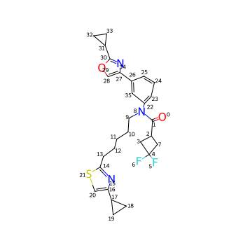 O=C(C1CC(F)(F)C1)N(CCCCCc1nc(C2CC2)cs1)c1cccc(-c2coc(C3CC3)n2)c1